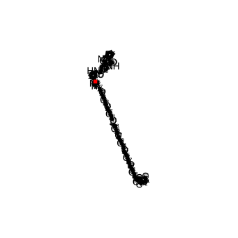 N#Cc1ccccc1N1C(=O)NC2(CCN(C(=O)Nc3cccc(-c4cn(CCOCCOCCOCCOCCOCCOCCOCCOCCOCCOCCOCCOCCC(=O)ON5C(=O)CCC5=O)nn4)c3)CC2)C1=O